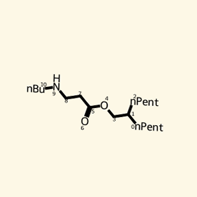 CCCCCC(CCCCC)COC(=O)CCNCCCC